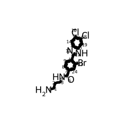 NCCCNC(=O)c1ccc(-c2nc3cc(Cl)c(Cl)cc3[nH]2)c(Br)c1